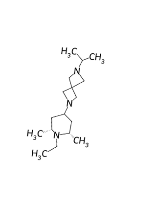 CCN1[C@H](C)CC(N2CC3(CN(C(C)C)C3)C2)C[C@@H]1C